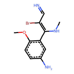 CN/C(=C(/Br)C=N)c1cc(N)ccc1OC